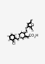 Cc1cc(SSC2CCN(Cc3ccccc3Cl)C/C2=C/C(=O)O)c(C)o1